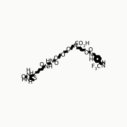 O=C(CCCC[C@@H]1SC[C@@H]2NC(=O)N[C@@H]21)NCCNC(=O)OCCOCCOCCN(C/C=C/COC(=O)NCc1ccc(C2(C(F)(F)F)N=N2)cc1)C(=O)O